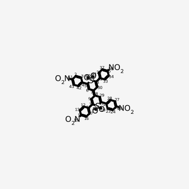 O=[N+]([O-])c1ccc(C2=CC(=C3C=C(c4ccc([N+](=O)[O-])cc4)S(=O)(=O)C(c4ccc([N+](=O)[O-])cc4)=C3)C=C(c3ccc([N+](=O)[O-])cc3)S2(=O)=O)cc1